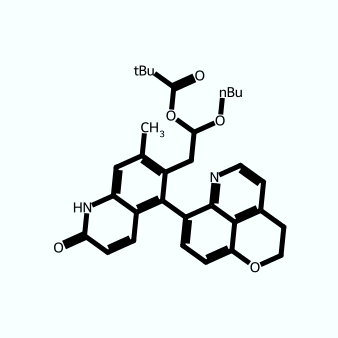 CCCCOC(Cc1c(C)cc2[nH]c(=O)ccc2c1-c1ccc2c3c(ccnc13)CCO2)OC(=O)C(C)(C)C